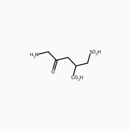 NCC(=O)CC(CS(=O)(=O)O)C(=O)O